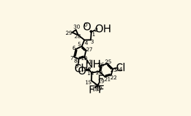 O=C(O)CC(c1ccc(Cl)c(NC(=O)C(CC(F)(F)F)c2ccc(Cl)cc2)c1)C1CC1